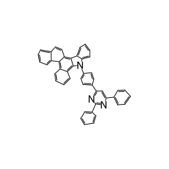 c1ccc(-c2cc(-c3ccc(-n4c5ccccc5c5c6ccc7ccccc7c6c6ccccc6c54)cc3)nc(-c3ccccc3)n2)cc1